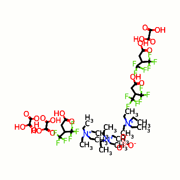 CC[N+](CC)(CC)CC.CC[N+](CC)(CC)CC.CC[N+](CC)(CC)CC.O=C(O)C(=O)O.O=C(O)C(=O)O.O=C(O)C(=O)O.O=C(O)CC(C(F)(F)F)C(F)(F)F.O=C(O)CC(C(F)(F)F)C(F)(F)F.O=C(O)CC(C(F)(F)F)C(F)(F)F.[O-]B([O-])[O-]